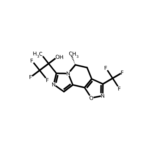 C[C@@H]1Cc2c(C(F)(F)F)noc2-c2cnc(C(C)(O)C(F)(F)F)n21